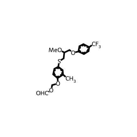 COC(COc1ccc(C(F)(F)F)cc1)CSc1ccc(OCOC=O)c(C)c1